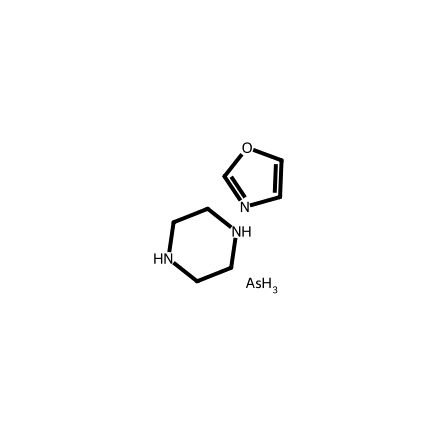 C1CNCCN1.[AsH3].c1cocn1